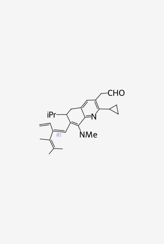 C=C/C(=C\C1=C(NC)c2nc(C3CC3)c(CC=O)cc2CC1C(C)C)C(C)=C(C)C